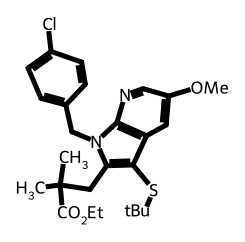 CCOC(=O)C(C)(C)Cc1c(SC(C)(C)C)c2cc(OC)cnc2n1Cc1ccc(Cl)cc1